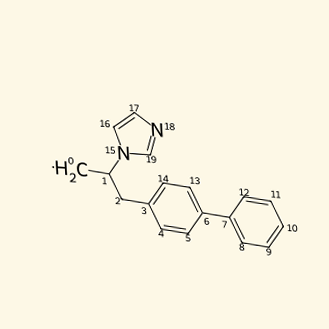 [CH2]C(Cc1ccc(-c2ccccc2)cc1)n1ccnc1